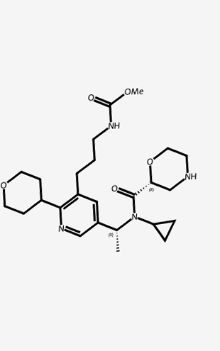 COC(=O)NCCCc1cc([C@@H](C)N(C(=O)[C@H]2CNCCO2)C2CC2)cnc1C1CCOCC1